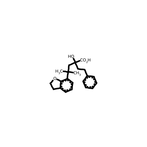 CC(C)(CC(O)(CCc1ccccc1)C(=O)O)c1cccc2c1OCC2